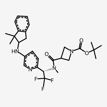 CN(C(=O)C1CN(C(=O)OC(C)(C)C)C1)[C@@H](c1ccc(NC2Cc3ccccc3C2(C)C)cn1)C(F)(F)F